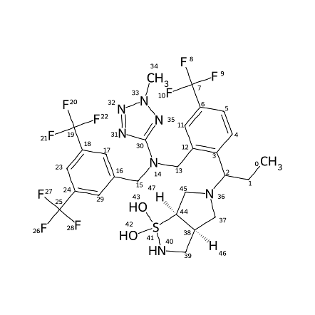 CCC(c1ccc(C(F)(F)F)cc1CN(Cc1cc(C(F)(F)F)cc(C(F)(F)F)c1)c1nnn(C)n1)N1C[C@H]2CNS(O)(O)[C@H]2C1